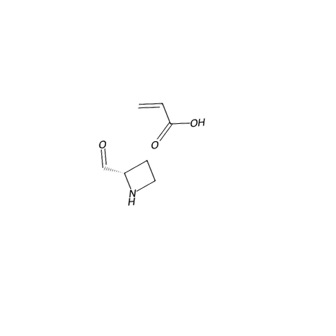 C=CC(=O)O.O=C[C@@H]1CCN1